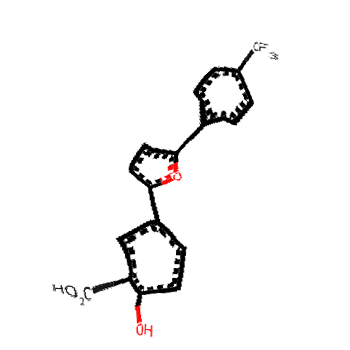 O=C(O)c1cc(-c2ccc(-c3ccc(C(F)(F)F)cc3)o2)ccc1O